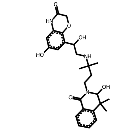 CC(C)(CCN1C(=O)c2ccccc2C(C)(C)C1O)NCC(O)c1cc(O)cc2c1OCC(=O)N2